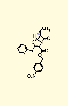 C/C=C1\C(=O)N2C(C(=O)OCc3ccc([N+](=O)[O-])cc3)=C(Sc3ccccn3)S[C@H]12